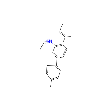 CC=C(C)c1ccc(-c2ccc(C)cc2)cc1/N=C\C